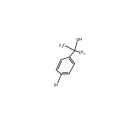 [CH2]Cc1ccc(C(O)(C(F)(F)F)C(F)(F)F)cc1